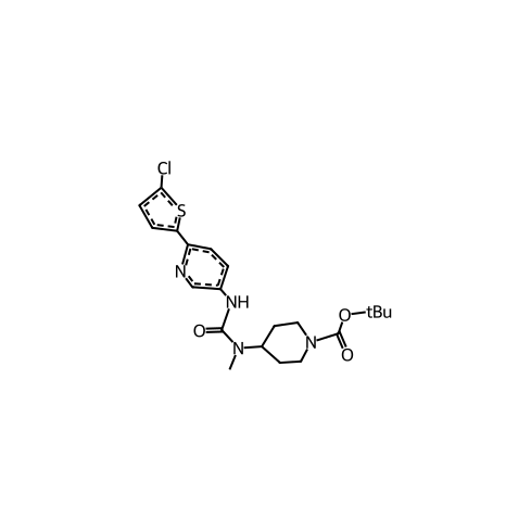 CN(C(=O)Nc1ccc(-c2ccc(Cl)s2)nc1)C1CCN(C(=O)OC(C)(C)C)CC1